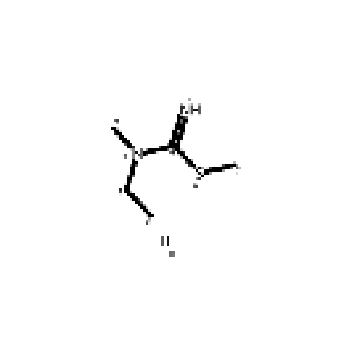 CCN(C)C(=N)SC.I